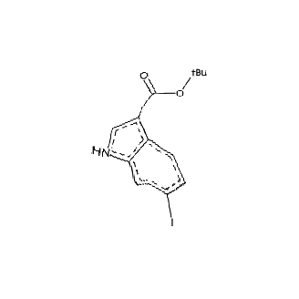 CC(C)(C)OC(=O)c1c[nH]c2cc(I)ccc12